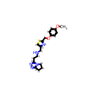 COc1ccc(OCc2nc(CNCCc3nnc4n3CCC4)cs2)cc1